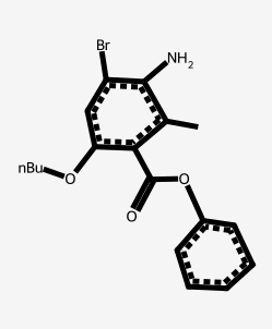 CCCCOc1cc(Br)c(N)c(C)c1C(=O)Oc1ccccc1